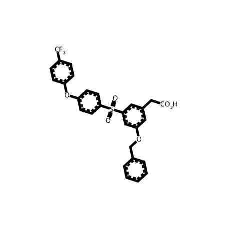 O=C(O)Cc1cc(OCc2ccccc2)cc(S(=O)(=O)c2ccc(Oc3ccc(C(F)(F)F)cc3)cc2)c1